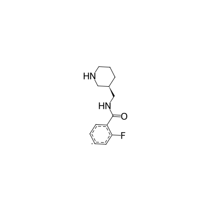 O=C(NC[C@@H]1CCCNC1)c1cc[c]cc1F